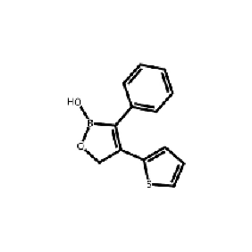 OB1OCC(c2cccs2)=C1c1ccccc1